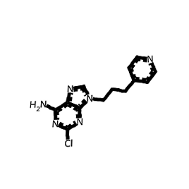 Nc1nc(Cl)nc2c1ncn2CCCc1ccncc1